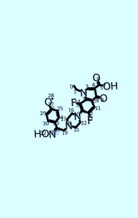 CCn1cc(C(=O)O)c(=O)c2cc(F)c(N3CCN(C/C(=N/O)c4ccc(OC)cc4)CC3)c(F)c21